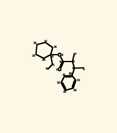 CCC1(OC(=O)C(C)C(C)c2ccccc2)CCCCC1